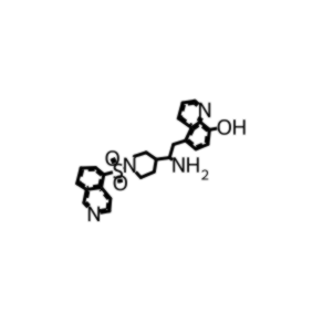 NC(Cc1ccc(O)c2ncccc12)C1CCN(S(=O)(=O)c2cccc3cnccc23)CC1